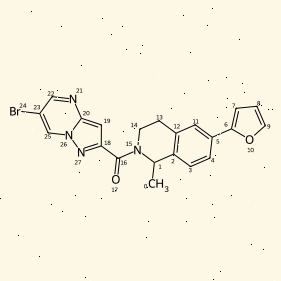 CC1c2ccc(-c3ccco3)cc2CCN1C(=O)c1cc2ncc(Br)cn2n1